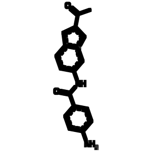 CC(=O)c1cc2ccc(NC(=O)c3ccc(N)cc3)cn2c1